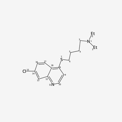 CCN(CC)CCCCSc1ccnc2cc(Cl)ccc12